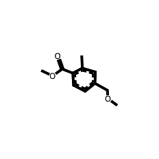 COCc1ccc(C(=O)OC)c(C)c1